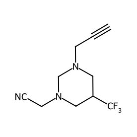 C#CCN1CC(C(F)(F)F)CN(CC#N)C1